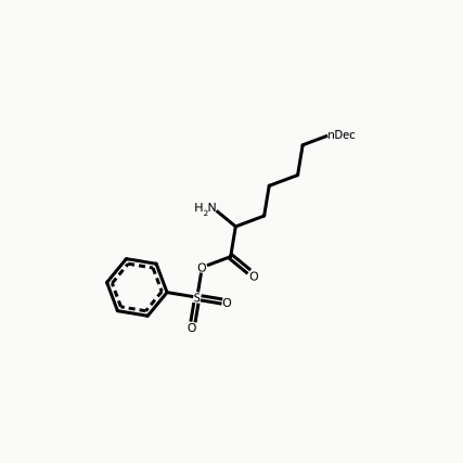 CCCCCCCCCCCCCCC(N)C(=O)OS(=O)(=O)c1ccccc1